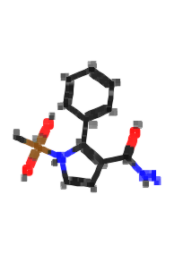 CS(=O)(=O)n1ccc(C(N)=O)c1-c1ccccc1